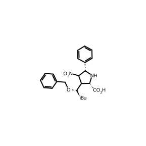 CC[C@H](C)[C@H](OCc1ccccc1)C1C([N+](=O)[O-])[C@H](c2ccccc2)N[C@@H]1C(=O)O